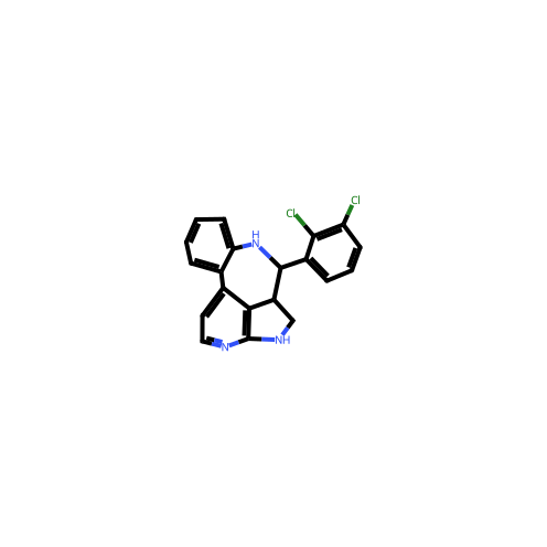 Clc1cccc(C2Nc3ccccc3-c3ccnc4c3C2CN4)c1Cl